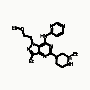 CCOCCn1nc(CC)c2nc(N3CCN[C@H](CC)C3)nc(Nc3ccncn3)c21